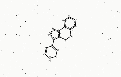 C1=CC(c2[nH]nc3c2CSc2ccccc2-3)=CCN1